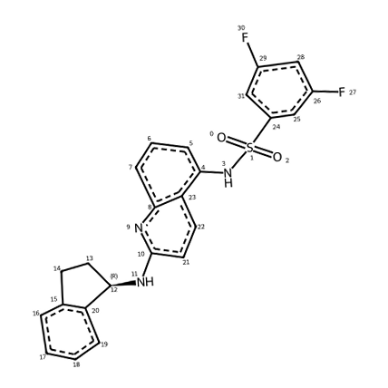 O=S(=O)(Nc1cccc2nc(N[C@@H]3CCc4ccccc43)ccc12)c1cc(F)cc(F)c1